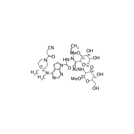 C=CCN(NC(=O)n1ccc2c(N(C)[C@H]3CN(C(=O)CC#N)CC[C@H]3C)ncnc21)C(=O)C1O[C@@H](O[C@@H]2C(NC(C)=O)[C@H](OC)OC(CO)[C@H]2O)C(O)[C@@H](O)[C@@H]1OC